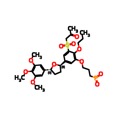 CCCOc1c(OCCCP(=O)=O)cc([C@H]2CC[C@H](c3cc(OC)c(OC)c(OC)c3)O2)cc1S(=O)(=O)CC(C)=O